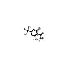 NC(=O)c1c(N)cc(C(F)(F)F)cc1Br